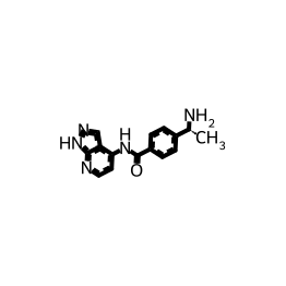 C[C@@H](N)c1ccc(C(=O)Nc2ccnc3[nH]ncc23)cc1